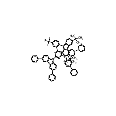 CC(C)(C)c1ccc2c(c1)c1cc(C(C)(C)C)ccc1n2-c1ccc(C(F)(F)F)cc1-c1nc(-n2c3ccc(-c4ccccc4)cc3c3cc(-c4ccccc4)ccc32)nc(-n2c3ccc(-c4ccccc4)cc3c3cc(-c4ccccc4)ccc32)n1